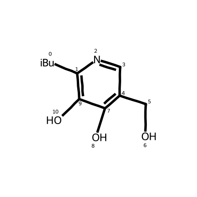 CCC(C)c1ncc(CO)c(O)c1O